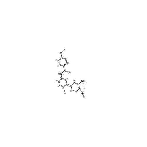 COc1cnc(C(=O)Nc2ccc(F)c(C3CC[C@](C)(C#N)C(N)=N3)c2)cn1